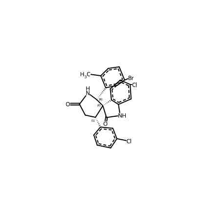 Cc1ccc(Br)cc1[C@H]1NC(=O)C[C@@H](c2cccc(Cl)c2)[C@]12C(=O)Nc1cc(Cl)ccc12